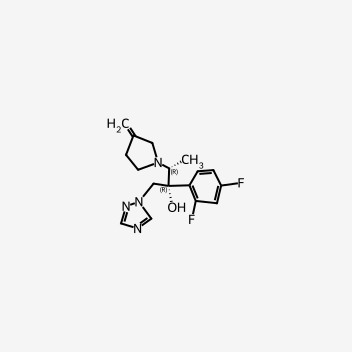 C=C1CCN([C@H](C)[C@](O)(Cn2cncn2)c2ccc(F)cc2F)C1